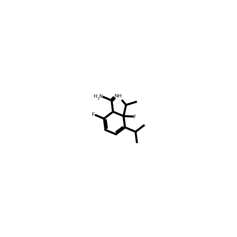 CC(C)C1=CC=C(F)C(C(=N)N)C1(F)C(C)C